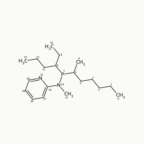 CCCCCC(C)P(C(CC)CCC)N(C)c1ccccn1